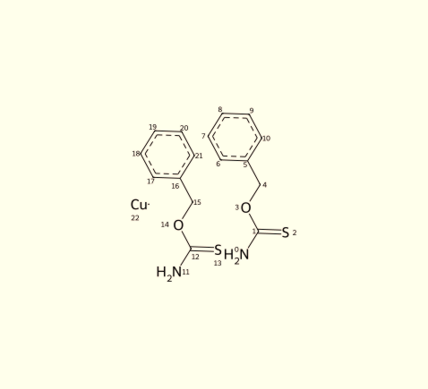 NC(=S)OCc1ccccc1.NC(=S)OCc1ccccc1.[Cu]